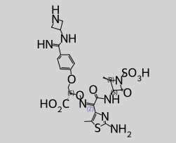 Cc1sc(N)nc1/C(=N/O[C@@H](COc1ccc(C(=N)NC2CNC2)cc1)C(=O)O)C(=O)N[C@@H]1C(=O)N(S(=O)(=O)O)[C@@H]1C